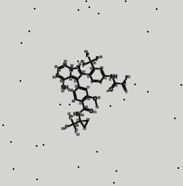 C=C(F)C(=O)Nc1ccc(-c2nn3ncnc(N)c3c2-c2ccc(C(=O)NC3(C(F)(F)F)CC3)c(OC)c2)c(C(F)(F)F)c1